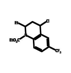 CCOC(=O)N1c2ccc(C(F)(F)F)cc2C(Cl)CC1CC